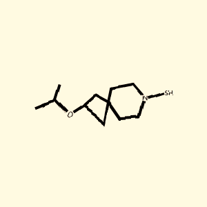 CC(C)OC1CC2(CCN(S)CC2)C1